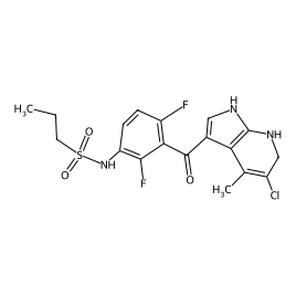 CCCS(=O)(=O)Nc1ccc(F)c(C(=O)c2c[nH]c3c2C(C)=C(Cl)CN3)c1F